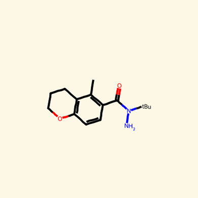 Cc1c(C(=O)N(N)C(C)(C)C)ccc2c1CCCO2